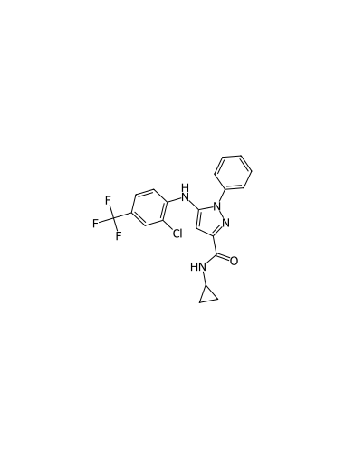 O=C(NC1CC1)c1cc(Nc2ccc(C(F)(F)F)cc2Cl)n(-c2ccccc2)n1